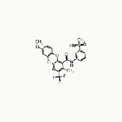 COc1ccc(Oc2nnc(C(F)(F)F)c(C)c2C(=O)Nc2cccc(S(C)(=N)=O)c2)c(Cl)c1